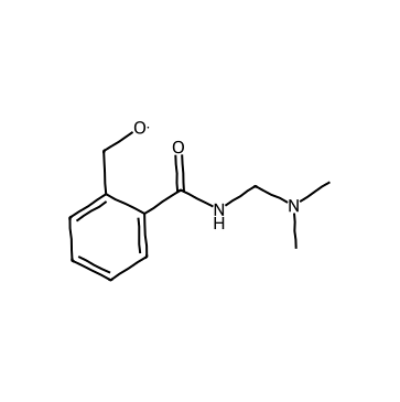 CN(C)CNC(=O)c1ccccc1C[O]